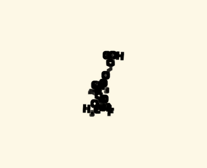 CNC(=O)c1c(-c2ccc(F)cc2)oc2cc(N(CCOCCOCCCc3ccc(C(=O)O)cc3)SC)c(C3CC3)cc12